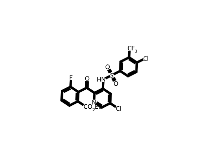 CCOC(=O)c1cccc(F)c1C(=O)c1ncc(Cl)cc1NS(=O)(=O)c1ccc(Cl)c(C(F)(F)F)c1